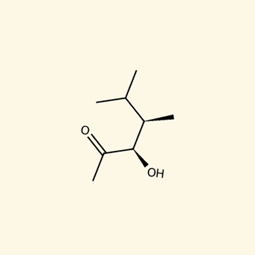 CC(=O)[C@H](O)[C@H](C)C(C)C